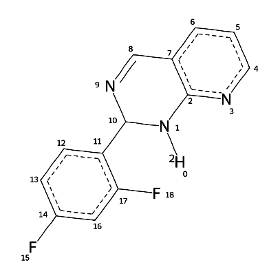 [2H]N1c2ncccc2C=NC1c1ccc(F)cc1F